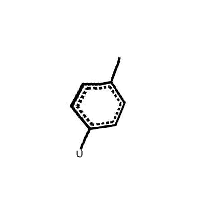 Cc1cc[c]([U])cc1